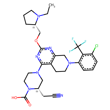 CCN1CCC[C@H]1COc1nc2c(c(N3CCN(C(=O)O)[C@@H](CC#N)C3)n1)CCN(c1cccc(Cl)c1C(F)(F)F)C2